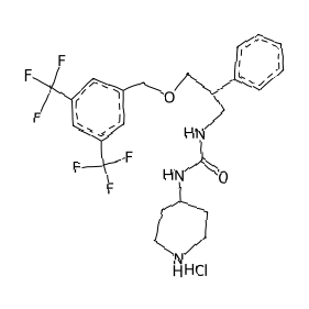 Cl.O=C(NCC(COCc1cc(C(F)(F)F)cc(C(F)(F)F)c1)c1ccccc1)NC1CCNCC1